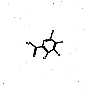 NC(=O)c1cc(Cl)c(Cl)c(Cl)c1Cl